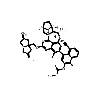 C#Cc1cccc2c(F)c(NC(=O)OC(C)(C)C)cc(-c3nc4c5c(nc(OCC67CC(=C)CN6CC(=C)C7)nc5c3F)N3C[C@H]5CC[C@H](N5)[C@H]3[C@H](C)O4)c12